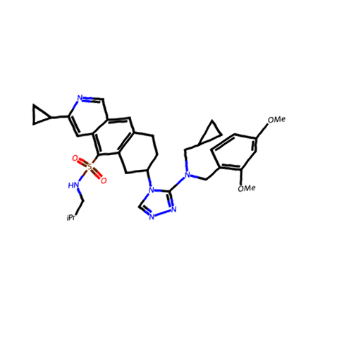 COc1ccc(CN(CC2CC2)c2nncn2C2CCc3cc4cnc(C5CC5)cc4c(S(=O)(=O)NCC(C)C)c3C2)c(OC)c1